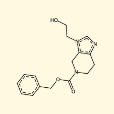 O=C(OCc1ccccc1)N1CCc2ncn(CCO)c2C1